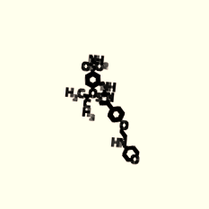 CC(C)Oc1ccc(S(N)(=O)=O)cc1Nc1nc(-c2ccc(OCCNC3CCOCC3)cc2)cs1